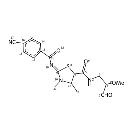 COC(C=O)CNC(=O)C1SC(=NC(=O)c2ccc(C#N)cc2)N(C)C1C